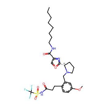 CCCCCCCCNC(=O)c1coc([C@@H]2CCCN2Cc2cc(OC)ccc2CCC(=O)NS(=O)(=O)C(F)(F)F)n1